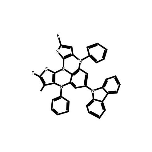 Cc1c(F)sc2c1N(c1ccccc1)c1cc(-n3c4ccccc4c4ccccc43)cc3c1B2c1sc(F)cc1N3c1ccccc1